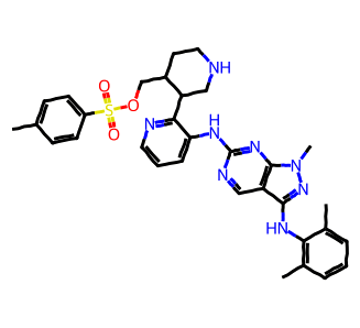 Cc1ccc(S(=O)(=O)OCC2CCNCC2c2ncccc2Nc2ncc3c(Nc4c(C)cccc4C)nn(C)c3n2)cc1